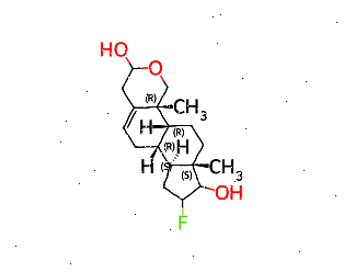 C[C@]12COC(O)CC1=CC[C@@H]1[C@H]2CC[C@]2(C)C(O)C(F)C[C@@H]12